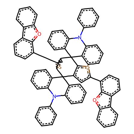 c1ccc(N2c3ccccc3C3(c4ccccc42)c2cc(-c4cccc5c4oc4ccccc45)sc2C2(c4ccccc4N(c4ccccc4)c4ccccc42)c2cc(-c4cccc5c4oc4ccccc45)sc23)cc1